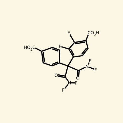 O=C(O)c1ccc(C(C(=O)N(F)F)(C(=O)N(F)F)c2ccc(C(=O)O)c(F)c2F)cc1